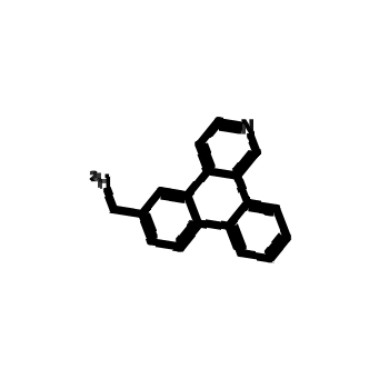 [2H]Cc1ccc2c3ccccc3c3cnccc3c2c1